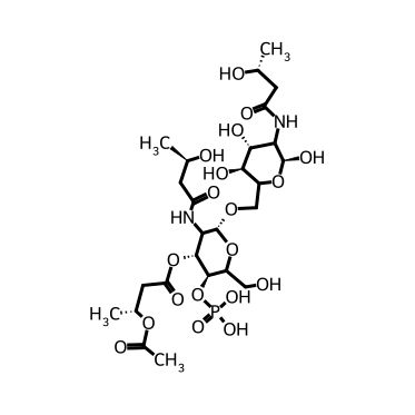 CC(=O)O[C@H](C)CC(=O)O[C@@H]1C(NC(=O)C[C@@H](C)O)[C@H](OCC2O[C@H](O)C(NC(=O)C[C@@H](C)O)[C@@H](O)[C@@H]2O)OC(CO)[C@H]1OP(=O)(O)O